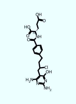 Nc1nc(N)c(CC(Cl)CCc2ccc(C(=O)N[C@@H](CCC(=O)O)C(=O)O)cc2)c(O)n1